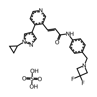 O=C(/C=C/c1cnccc1-c1cnn(C2CC2)c1)Nc1ccc(CN2CC(F)(F)C2)cc1.O=S(=O)(O)O